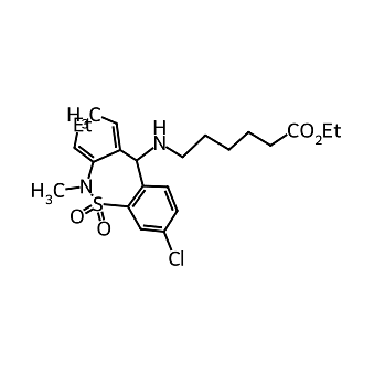 C/C=C1\C(=C/CC)N(C)S(=O)(=O)c2cc(Cl)ccc2C1NCCCCCC(=O)OCC